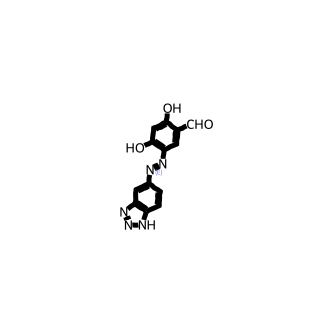 O=Cc1cc(/N=N/c2ccc3[nH]nnc3c2)c(O)cc1O